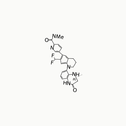 CNC(=O)c1ccc(-c2cc3c(cc2C(F)F)N(c2cccc4c2N[C@H](C)CC(=O)N4)CCC3)cn1